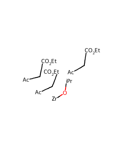 CC(C)[O][Zr].CCOC(=O)CC(C)=O.CCOC(=O)CC(C)=O.CCOC(=O)CC(C)=O